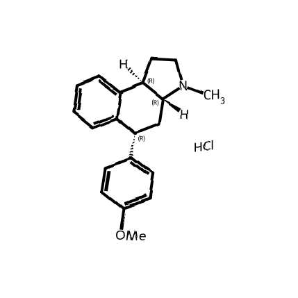 COc1ccc([C@H]2C[C@@H]3[C@H](CCN3C)c3ccccc32)cc1.Cl